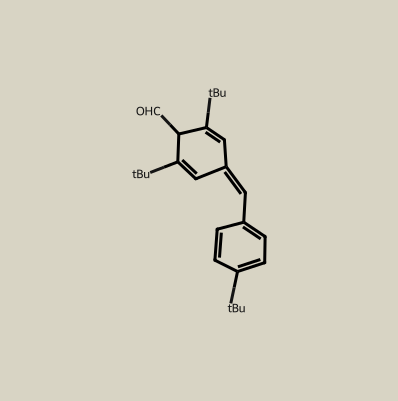 CC(C)(C)C1=CC(=Cc2ccc(C(C)(C)C)cc2)C=C(C(C)(C)C)C1C=O